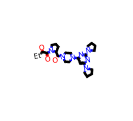 CCC(=O)C(=O)N1CCCC1C(=O)N1CCN(c2cc(N3CCCC3)nc(N3CCCC3)n2)CC1